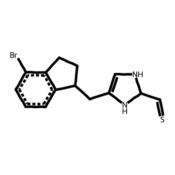 S=CC1NC=C(CC2CCc3c(Br)cccc32)N1